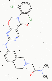 CN(C)C(=O)CN1CCc2ccc(Nc3ncc4c(n3)OCN(c3c(Cl)cccc3Cl)C4=O)cc2C1